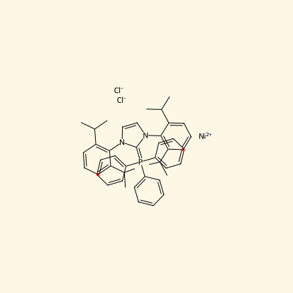 CC(C)c1cccc(C(C)C)c1-n1ccn(-c2c(C(C)C)cccc2C(C)C)c1=P(c1ccccc1)(c1ccccc1)c1ccccc1.[Cl-].[Cl-].[Ni+2]